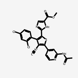 [C-]#[N+]c1c(-c2ccnc(NC(C)=O)c2)sc(-c2ncc(C(=O)OC)[nH]2)c1-c1ccc(Cl)cc1Cl